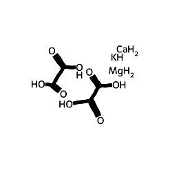 O=C(O)C(=O)O.O=C(O)C(=O)O.[CaH2].[KH].[MgH2]